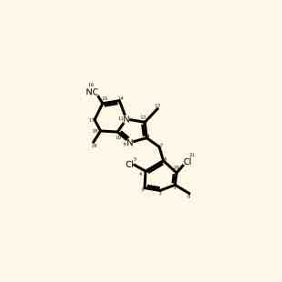 Cc1ccc(Cl)c(Cc2nc3n(c2C)C=C(C#N)CC3C)c1Cl